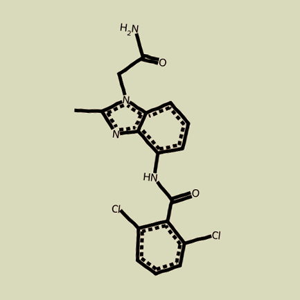 Cc1nc2c(NC(=O)c3c(Cl)cccc3Cl)cccc2n1CC(N)=O